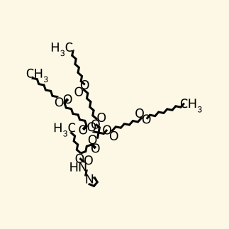 CCCCCCCCCOC(=O)CCCCCCC(=O)OCC(COC(=O)CCCCCCC(=O)OCCCCCCCCC)(COC(=O)CCCCCCC(=O)OCCCCCCCCC)COC(=O)CCC(CCCCCC)OC(=O)NCCN1CCCC1